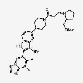 COCC1CCCN1CCC(=O)N1CCC(c2ccc3[nH]c(-c4cn5ncnc5c(C)c4C)c(C(C)C)c3c2)CC1